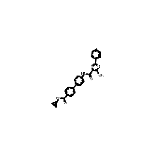 O=C(NC1CC1)c1ccc(-c2ccc(NC(=O)c3nc(-c4ccccc4)oc3C(F)(F)F)cc2)cc1